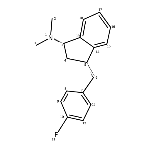 CN(C)[C@H]1C[C@@H](Cc2ccc(F)cc2)c2ccccc21